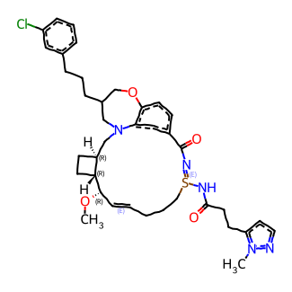 CO[C@H]1/C=C/CCC/S(NC(=O)CCc2ccnn2C)=N\C(=O)c2ccc3c(c2)N(CC(CCCc2cccc(Cl)c2)CO3)C[C@@H]2CC[C@H]21